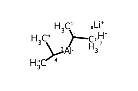 C[CH](C)[Al][CH](C)C.[H-].[Li+]